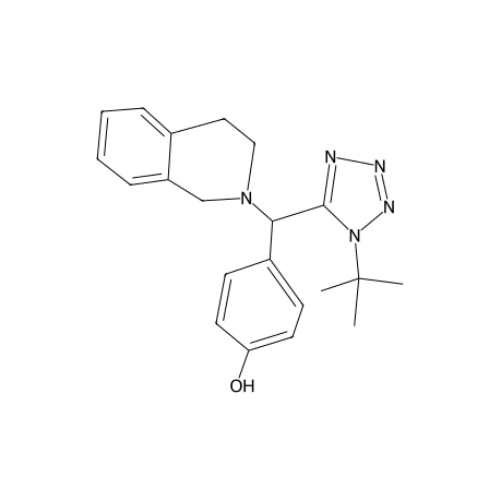 CC(C)(C)n1nnnc1C(c1ccc(O)cc1)N1CCc2ccccc2C1